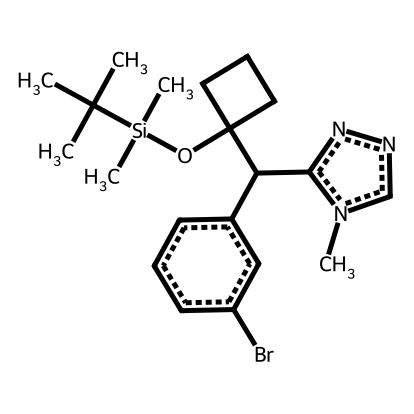 Cn1cnnc1C(c1cccc(Br)c1)C1(O[Si](C)(C)C(C)(C)C)CCC1